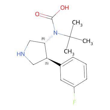 CC(C)(C)N(C(=O)O)[C@H]1CNC[C@@H]1c1cccc(F)c1